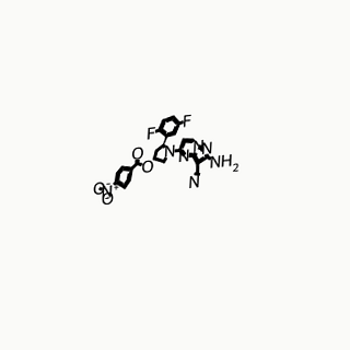 N#Cc1c(N)nn2ccc(N3C[C@@H](OC(=O)c4ccc([N+](=O)[O-])cc4)C[C@H]3c3cc(F)ccc3F)nc12